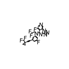 Fc1cc(C#CC2(C(F)F)CC2)cc(N(CC(F)F)c2nc3nncn3c3cncc(F)c23)c1